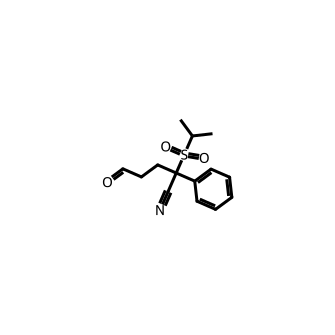 CC(C)S(=O)(=O)C(C#N)(CCC=O)c1ccccc1